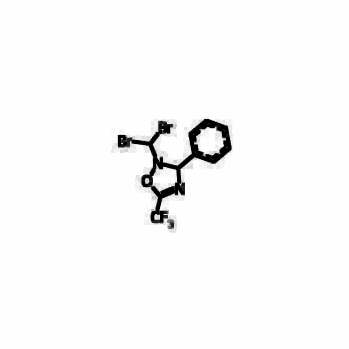 FC(F)(F)C1=NC(c2ccccc2)N(C(Br)Br)O1